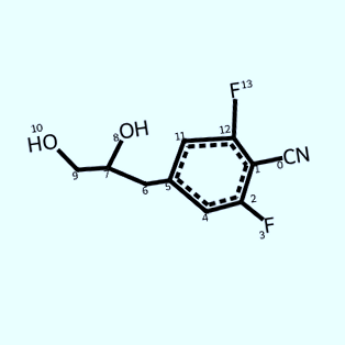 N#Cc1c(F)cc(CC(O)CO)cc1F